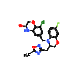 Cc1nc(CC2COc3cc(F)ccc3N2Cc2cc(Cl)c3c(c2)NC(=O)CO3)no1